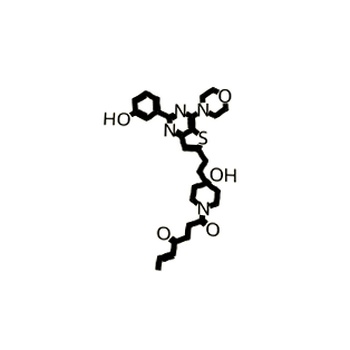 CC=CC(=O)CCC(=O)N1CCC(O)(CCc2cc3nc(-c4cccc(O)c4)nc(N4CCOCC4)c3s2)CC1